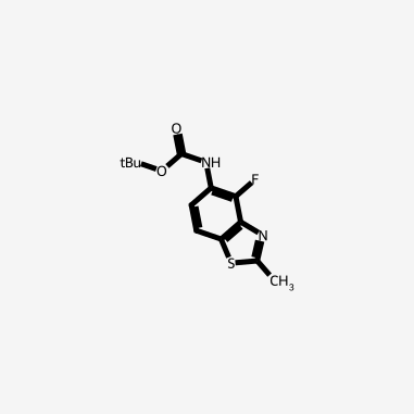 Cc1nc2c(F)c(NC(=O)OC(C)(C)C)ccc2s1